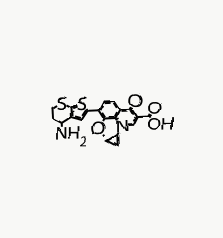 COc1c(-c2cc3c(s2)SCCC3N)ccc2c(=O)c(C(=O)O)cn(C3CC3)c12